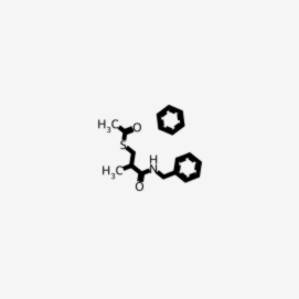 CC(=O)SCC(C)C(=O)NCc1ccccc1.c1ccccc1